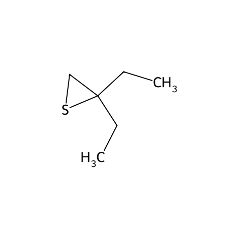 CCC1(CC)CS1